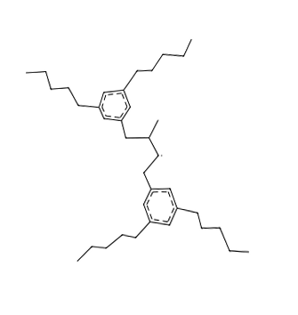 CCCCCc1cc(C[CH]C(C)Cc2cc(CCCCC)cc(CCCCC)c2)cc(CCCCC)c1